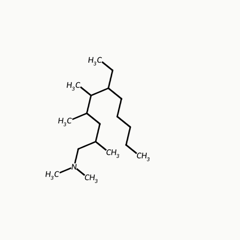 CCCCCC(CC)C(C)C(C)CC(C)CN(C)C